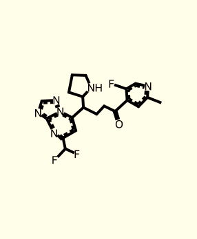 Cc1cc(C(=O)CCC(c2cc(C(F)F)nc3ncnn23)C2CCCN2)c(F)cn1